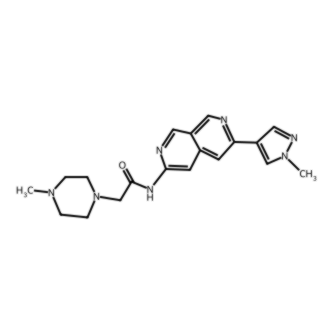 CN1CCN(CC(=O)Nc2cc3cc(-c4cnn(C)c4)ncc3cn2)CC1